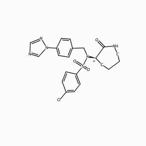 O=C1NCCCC[C@H]1N(Cc1ccc(-n2cncn2)cc1)S(=O)(=O)c1ccc(Cl)cc1